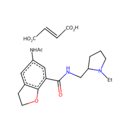 CCN1CCCC1CNC(=O)c1cc(NC(C)=O)cc2c1OCC2.O=C(O)C=CC(=O)O